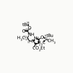 CCOC(=O)c1cc(O[Si](C)(C)C(C)(C)C)nn1C[C@H](C)NC(=O)OC(C)(C)C